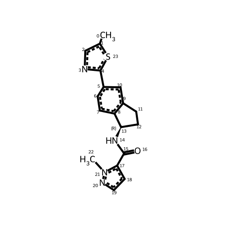 Cc1cnc(-c2ccc3c(c2)CC[C@H]3NC(=O)c2ccnn2C)s1